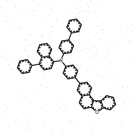 c1ccc(-c2ccc(N(c3ccc(-c4ccc5c(ccc6oc7ccccc7c65)c4)cc3)c3ccc(-c4ccccc4)c4ccccc34)cc2)cc1